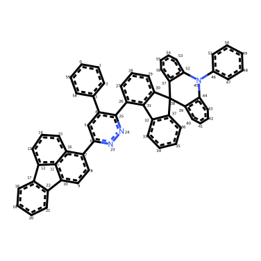 c1ccc(-c2cc(-c3ccc4c5c(cccc35)-c3ccccc3-4)nnc2-c2cccc3c2-c2ccccc2C32c3ccccc3N(c3ccccc3)c3ccccc32)cc1